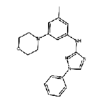 Cc1cc(Nc2ncn(-c3ccccc3)n2)cc(N2CCOCC2)c1